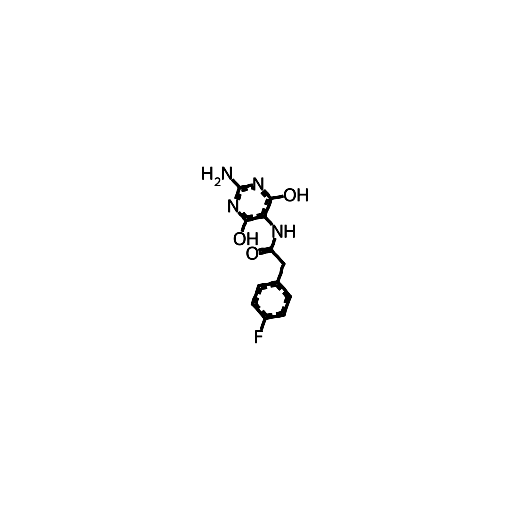 Nc1nc(O)c(NC(=O)Cc2ccc(F)cc2)c(O)n1